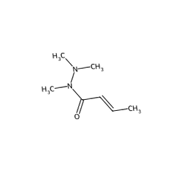 CC=CC(=O)N(C)N(C)C